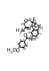 COc1ccc(C(=O)Nc2ccc(F)c(C3(C)N=C(N)COCC3(F)F)c2)nc1